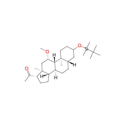 CO[C@H]1C[C@]2(C)[C@@H](C(C)=O)CC[C@H]2[C@@H]2CC[C@H]3CC(O[Si](C)(C)C(C)(C)C)CC[C@]3(C)[C@H]21